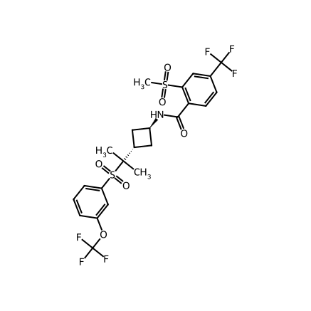 CC(C)([C@H]1C[C@H](NC(=O)c2ccc(C(F)(F)F)cc2S(C)(=O)=O)C1)S(=O)(=O)c1cccc(OC(F)(F)F)c1